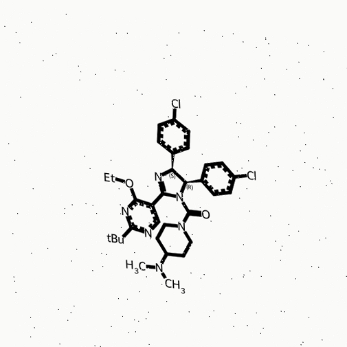 CCOc1nc(C(C)(C)C)ncc1C1=N[C@@H](c2ccc(Cl)cc2)[C@@H](c2ccc(Cl)cc2)N1C(=O)N1CCC(N(C)C)CC1